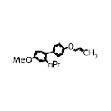 C=CCOc1ccc(-c2ccc(OC)cc2CCC)cc1